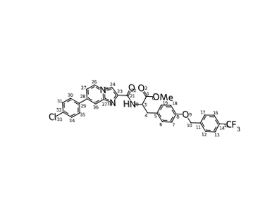 COC(=O)C(Cc1ccc(OCc2ccc(C(F)(F)F)cc2)cc1)NC(=O)c1cn2ccc(-c3ccc(Cl)cc3)cc2n1